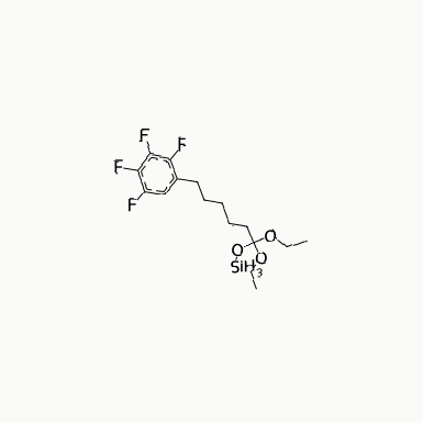 CCOC(CCCCCc1cc(F)c(F)c(F)c1F)(O[SiH3])OCC